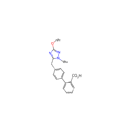 CCCOc1nc(Cc2ccc(-c3ccccc3C(=O)O)cc2)n(C(C)CC)n1